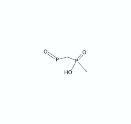 CP(=O)(O)CP=O